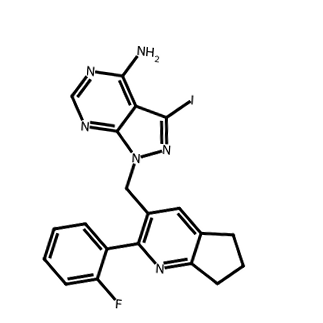 Nc1ncnc2c1c(I)nn2Cc1cc2c(nc1-c1ccccc1F)CCC2